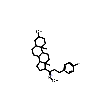 CC12CCC(O)CC1CCC1C2CCC2(C)C(/C(CCc3ccc(F)cc3)=N/O)CCC12